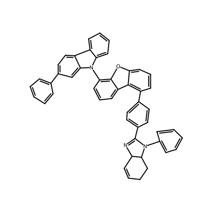 C1=CC2N=C(c3ccc(-c4cccc5oc6c(-n7c8ccccc8c8ccc(-c9ccccc9)cc87)cccc6c45)cc3)N(c3ccccc3)C2CC1